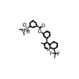 Cc1cnc2c(C(F)(F)F)cccc2c1-c1cccc(OC(=O)c2cccc(S(=O)(=O)N(C)C)c2)c1